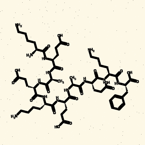 C[C@H](NC(=O)[C@H](CCC(=O)O)NC(=O)[C@H](CCCCN)NC(=O)[C@H](CCC(=O)O)NC(=O)[C@H](C)NC(=O)[C@H](CCC(=O)O)NC(=O)[C@@H](N)CCCCN)C(=O)N[C@@H](CCC(=O)O)C(=O)N[C@@H](CCCCN)C(=O)N[C@@H](Cc1ccccc1)C(=O)O